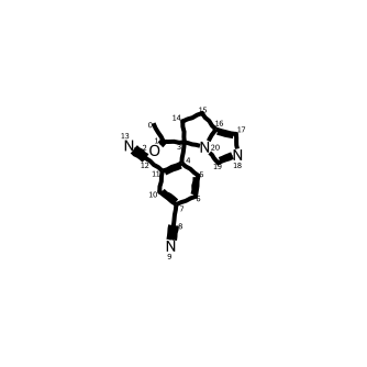 CC(=O)C1(c2ccc(C#N)cc2C#N)CCc2cncn21